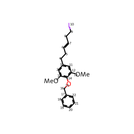 COc1cc(CC/C=C/CCI)cc(OC)c1OCc1ccccc1